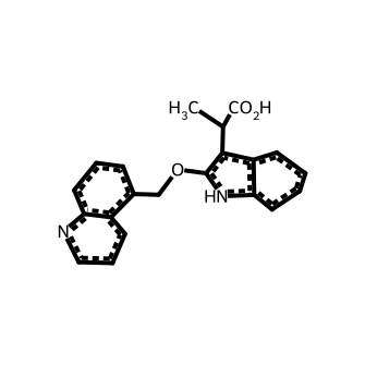 CC(C(=O)O)c1c(OCc2cccc3ncccc23)[nH]c2ccccc12